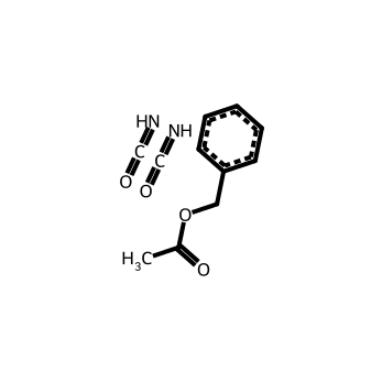 CC(=O)OCc1ccccc1.N=C=O.N=C=O